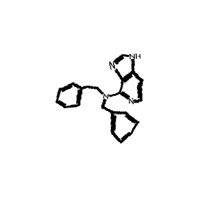 c1ccc(CN(Cc2ccccc2)c2nccc3[nH]cnc23)cc1